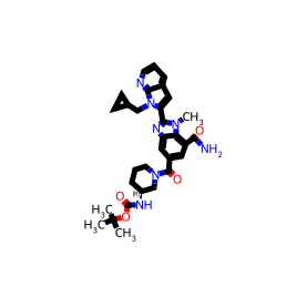 Cn1c(-c2cc3cccnc3n2CC2CC2)nc2cc(C(=O)N3CCC[C@@H](NC(=O)OC(C)(C)C)C3)cc(C(N)=O)c21